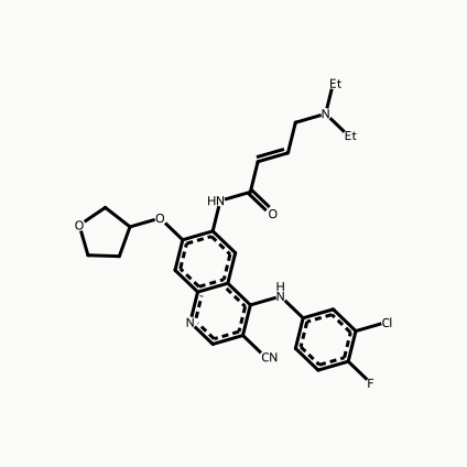 CCN(CC)CC=CC(=O)Nc1cc2c(Nc3ccc(F)c(Cl)c3)c(C#N)cnc2cc1OC1CCOC1